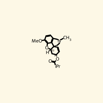 COc1ccc2c3c1O[C@H]1C[C@@H](OC(=O)C(C)C)C=C[C@@]31CCN(C)C2